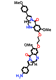 COc1ccc(C2=CN3C(=O)c4cc(OC)c(OCCCOc5cc6c(cc5OC)C(=O)N5C=C(c7ccc(N)cc7)C[C@H]5C=N6)cc4NC[C@@H]3C2)cc1